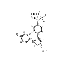 CCOC(=O)C(C)(C)[S@+]([O-])c1ccc(-n2nc(C(F)(F)F)cc2-c2ccc(C)cc2)cc1